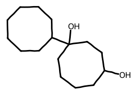 OC1CCCCC(O)(C2CCCCCCC2)CC1